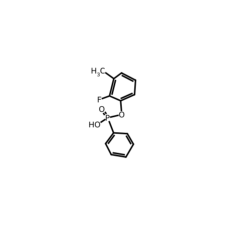 Cc1cccc(OP(=O)(O)c2ccccc2)c1F